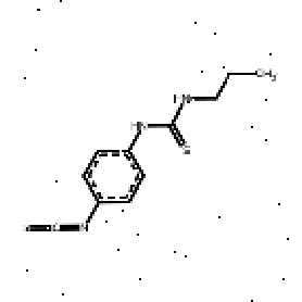 [CH2]CCNC(=S)Nc1ccc(N=C=S)cc1